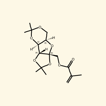 C=C(C)C(=O)OC[C@]12O[C@@H]3COC(C)(C)O[C@@H]3[C@H]1OC(C)(C)O2